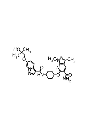 Cc1nn(C)c2nc(OC3CCC(NC(=O)c4cnn5cc(OCC(C)(C)O)ccc45)CC3)c(C(N)=O)cc12